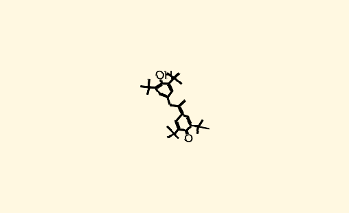 CC(Cc1cc(C(C)(C)C)c(O)c(C(C)(C)C)c1)=C1C=C(C(C)(C)C)C(=O)C(C(C)(C)C)=C1